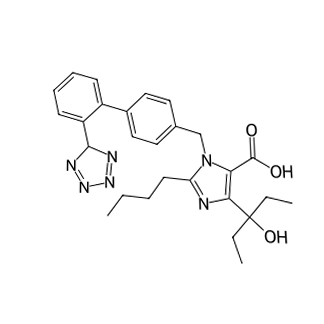 CCCCc1nc(C(O)(CC)CC)c(C(=O)O)n1Cc1ccc(-c2ccccc2C2N=NN=N2)cc1